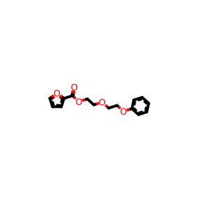 O=C(OCCOCCOc1ccccc1)c1ccco1